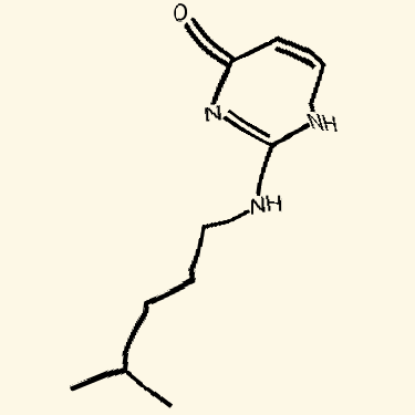 CC(C)CCCNc1nc(=O)cc[nH]1